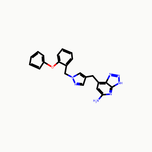 Nc1cc(Cc2cnn(Cc3ccccc3Oc3ccccc3)c2)c2nn[nH]c2n1